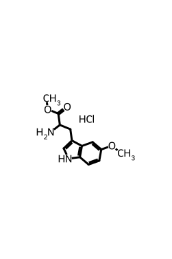 COC(=O)C(N)Cc1c[nH]c2ccc(OC)cc12.Cl